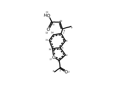 CC(=O)c1cc2cc(/C(C)=C\C(=O)O)ccc2o1